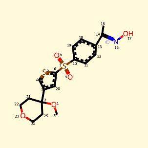 COC1(c2csc(S(=O)(=O)c3ccc(/C(C)=N/O)cc3)c2)CCOCC1